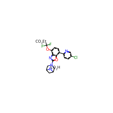 CCOC(=O)C(F)(F)Oc1ccc(-c2ccc(Cl)cn2)c2oc(N3CC4CC(C3)N4C(=O)O)nc12